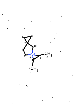 CC1C(C)[N+]12CCC1(CC1)C2